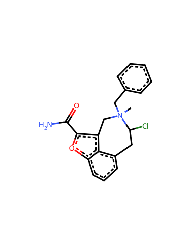 C[N+]1(Cc2ccccc2)Cc2c(C(N)=O)oc3cccc(c23)CC1Cl